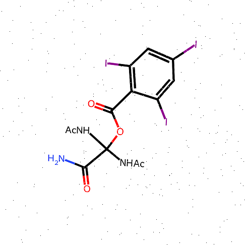 CC(=O)NC(NC(C)=O)(OC(=O)c1c(I)cc(I)cc1I)C(N)=O